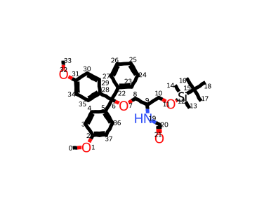 COc1ccc(C(OCC(CO[Si](C)(C)C(C)(C)C)NC=O)(c2ccccc2)c2ccc(OC)cc2)cc1